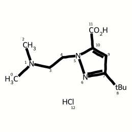 CN(C)CCn1nc(C(C)(C)C)cc1C(=O)O.Cl